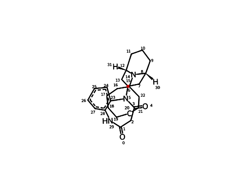 O=C1CC(=O)N(C2C[C@H]3CCC[C@@H](C2)N3C2CCCCCCC2)c2ccccc2N1